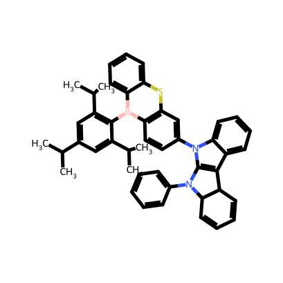 CC(C)c1cc(C(C)C)c(B2c3ccccc3Sc3cc(-n4c5c(c6ccccc64)C4C=CC=CC4N5c4ccccc4)ccc32)c(C(C)C)c1